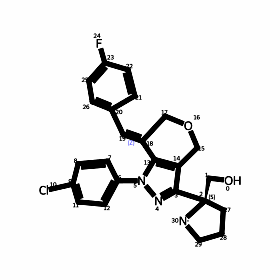 OC[C@@]1(c2nn(-c3ccc(Cl)cc3)c3c2COC/C3=C\c2ccc(F)cc2)CCC[N]1